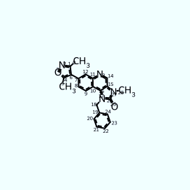 Cc1noc(C)c1-c1ccc2c(c1)ncc1c2n(Cc2ccccc2)c(=O)n1C